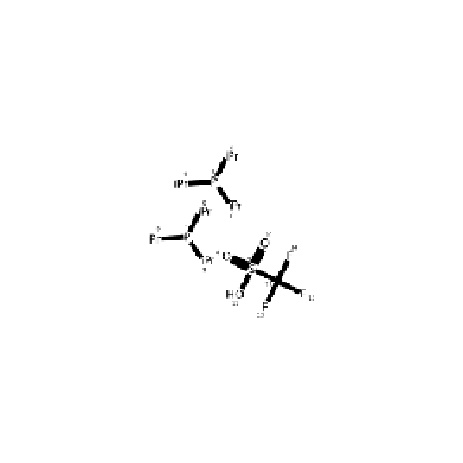 CC(C)P(C(C)C)C(C)C.CC(C)P(C(C)C)C(C)C.O=S(=O)(O)C(F)(F)F